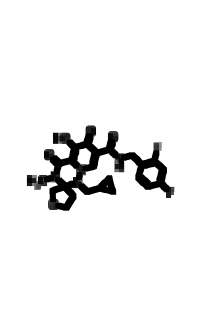 CN1C(=O)c2c(O)c(=O)c(C(=O)NCc3ccc(F)cc3F)cn2N(CC2CC2)C12CCOC2